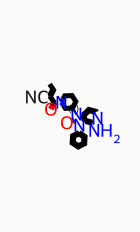 CC=C(C#N)C(=O)N1CCC[C@@H](n2c(=O)n(-c3ccccc3)c3c(N)nccc32)C1